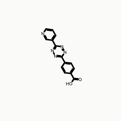 O=C(O)c1ccc(-c2nnc(-c3cccnc3)nn2)cc1